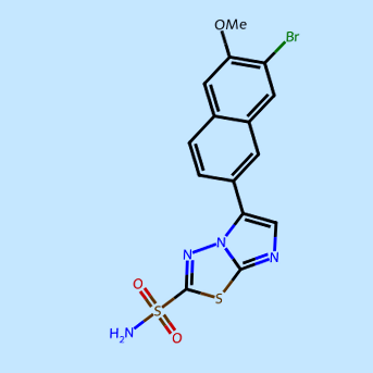 COc1cc2ccc(-c3cnc4sc(S(N)(=O)=O)nn34)cc2cc1Br